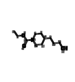 CCOC(=O)N1CCC(CCCO)CC1